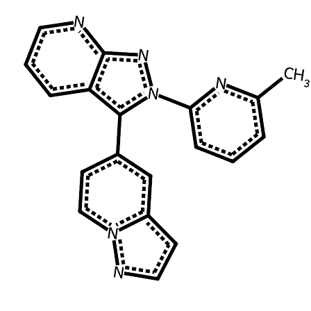 Cc1cccc(-n2nc3ncccc3c2-c2ccn3nccc3c2)n1